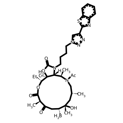 B[C@@H]1CC(=O)[C@@H](C)C(=O)O[C@H](CC)[C@@]2(C)OC(=O)N(CCCCn3cc(-c4nc5ccccc5s4)nn3)[C@@H]2[C@@H](C)N(C(C)=O)C[C@H](C)C[C@]1(C)O